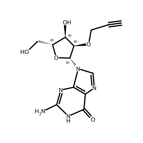 C#CCO[C@@H]1[C@H](O)[C@@H](CO)O[C@H]1n1cnc2c(=O)[nH]c(N)nc21